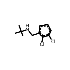 CC(C)(C)NCc1cccc(Cl)c1Cl